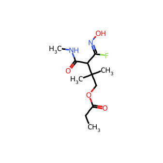 CCC(=O)OCC(C)(C)C(C(=O)NC)C(F)=NO